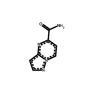 NC(=O)c1ccn2nccc2n1